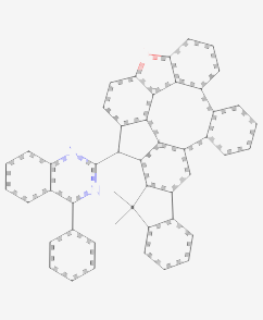 CC1(C)c2ccccc2-c2cc3c4ccccc4c4cccc5oc6ccc7c(c3c(c21)C7c1nc(-c2ccccc2)c2ccccc2n1)c6c54